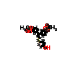 CS(=O)(=O)Oc1cccc(C(=CCSc2bcc(O)cc2)c2cccc(OS(C)(=O)=O)c2)c1